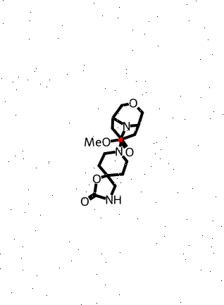 COC(=O)N1C2COCC1CC(N1CCC3(CC1)CNC(=O)O3)C2